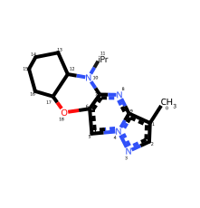 Cc1cnn2cc3c(nc12)N(C(C)C)C1CCCCC1O3